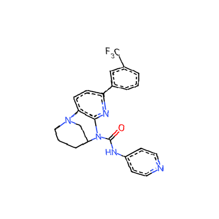 O=C(Nc1ccncc1)N1c2nc(-c3cccc(C(F)(F)F)c3)ccc2N2CCCC1C2